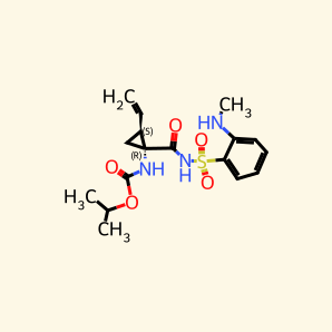 C=C[C@@H]1C[C@]1(NC(=O)OC(C)C)C(=O)NS(=O)(=O)c1ccccc1NC